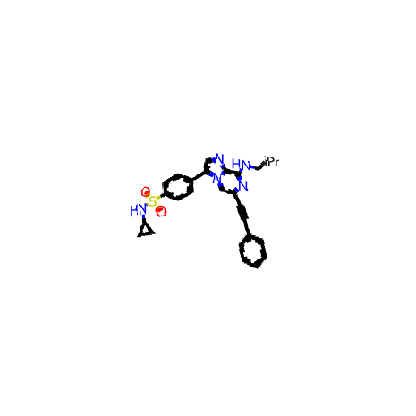 CC(C)CNc1nc(C#Cc2ccccc2)cn2c(-c3ccc(S(=O)(=O)NC4CC4)cc3)cnc12